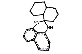 c1cc2c3c(cccc3c1)NC1(CCCC3CCCCC31)N2